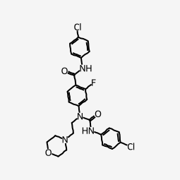 O=C(Nc1ccc(Cl)cc1)c1ccc(N(CCN2CCOCC2)C(=O)Nc2ccc(Cl)cc2)cc1F